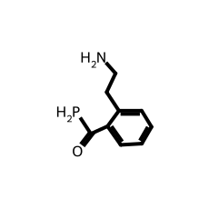 NCCc1ccccc1C(=O)P